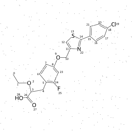 CCOC(Cc1ccc(OCc2csc(-c3ccc(Cl)cc3)n2)cc1F)C(=O)O